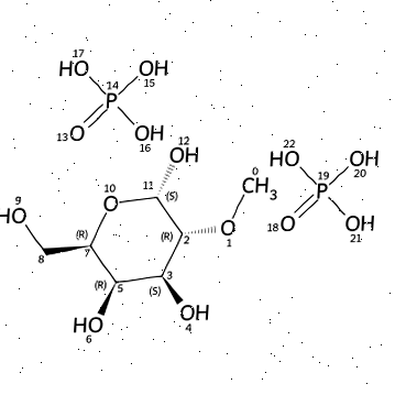 CO[C@@H]1[C@@H](O)[C@@H](O)[C@@H](CO)O[C@@H]1O.O=P(O)(O)O.O=P(O)(O)O